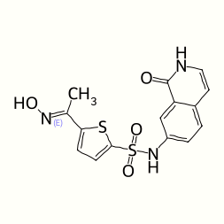 C/C(=N\O)c1ccc(S(=O)(=O)Nc2ccc3cc[nH]c(=O)c3c2)s1